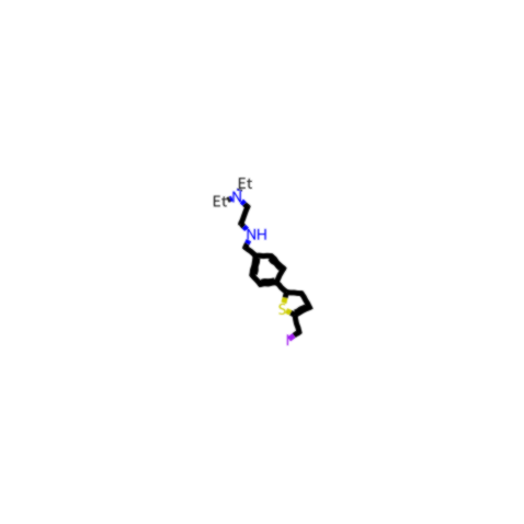 CCN(CC)CCNCc1ccc(C2CC=C(CI)S2)cc1